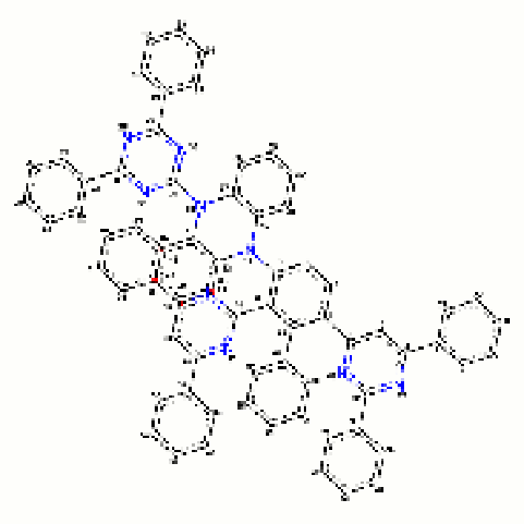 c1ccc(-c2cc(-c3ccc(N4c5ccccc5N(c5nc(-c6ccccc6)nc(-c6ccccc6)n5)c5ccccc54)c(-c4nc(-c5ccccc5)cc(-c5ccccc5)n4)c3-c3ccccc3)nc(-c3ccccc3)n2)cc1